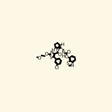 COCCOc1nc(C(=O)N2[C@H]3CC[C@@H](C3)[C@@H]2CNC(=O)Oc2cccc3ncsc23)c(-c2cccc(Cl)c2)s1